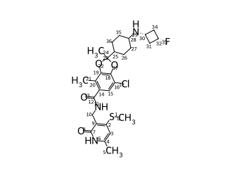 CSc1cc(C)[nH]c(=O)c1CNC(=O)c1cc(Cl)c2c(c1C)OC(C)(C1CCC(N[C@H]3C[C@@H](F)C3)CC1)O2